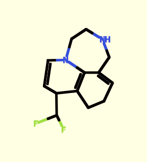 FC(F)C1C=CN2CCNCC3=CCCC1=C32